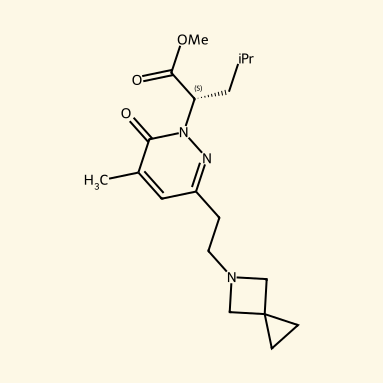 COC(=O)[C@H](CC(C)C)n1nc(CCN2CC3(CC3)C2)cc(C)c1=O